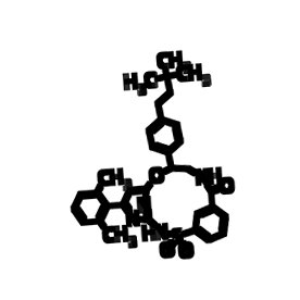 Cc1cccc(C)c1-c1cc2nc(n1)NS(=O)(=O)c1cccc(c1)C(=O)NCC(c1ccc(CCC(C)(C)C)cc1)O2